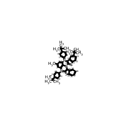 Cc1cc2c3c(c1)N(c1ccc(C(C)(C)C)cc1)c1c(sc4ccc(C(C)(C)C)cc14)B3c1c(sc3ccccc13)N2c1ccc(C(C)(C)C)cc1